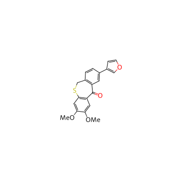 COc1cc2c(cc1OC)C(=O)c1cc(-c3ccoc3)ccc1CS2